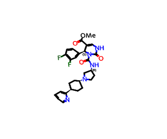 COC(=O)C1=CNC(=O)N(C(=O)N[C@@H]2CCN([C@H]3CC[C@H](c4ccccn4)CC3)C2)[C@H]1c1ccc(F)c(F)c1